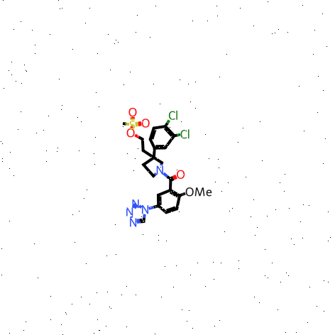 COc1ccc(-n2cnnn2)cc1C(=O)N1CCC(CCOS(C)(=O)=O)(c2ccc(Cl)c(Cl)c2)C1